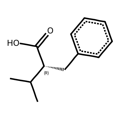 CC(C)[C@@H](Cc1ccccc1)C(=O)O